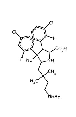 CC(=O)NCCC(C)(C)CC1NC(C(=O)O)C(c2cccc(Cl)c2F)C1(C#N)c1ccc(Cl)cc1F